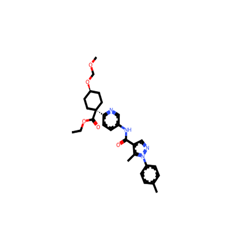 CCOC(=O)[C@]1(c2ccc(NC(=O)c3cnn(-c4ccc(C)cc4)c3C)cn2)CC[C@H](OCOC)CC1